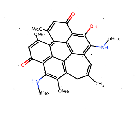 CCCCCCNc1c(O)c2c(=O)cc(OC)c3c4c(OC)cc(=O)c5c(NCCCCCC)c(OC)c6c(c(c1C=C(C)C6)c23)c54